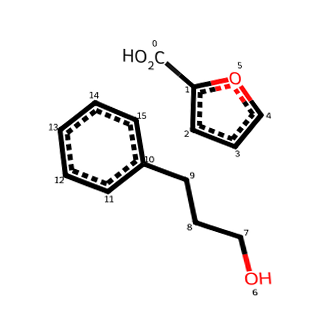 O=C(O)c1ccco1.OCCCc1ccccc1